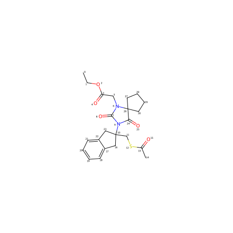 CCOC(=O)CN1C(=O)N(C2(CSC(C)=O)Cc3ccccc3C2)C(=O)C12CCCC2